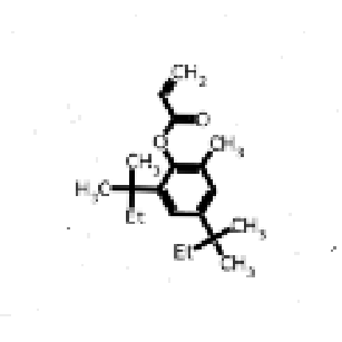 C=CC(=O)Oc1c(C)cc(C(C)(C)CC)cc1C(C)(C)CC